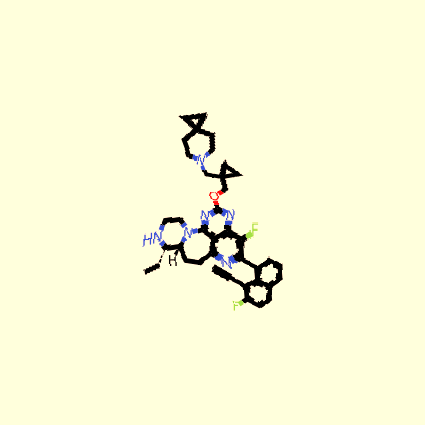 C#Cc1c(F)ccc2cccc(-c3nc4c5c(nc(OCC6(CN7CCC8(CC7)CC8)CC6)nc5c3F)N3CCN[C@@H](CC)[C@H]3CC4)c12